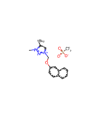 Cn1n[n+](COc2ccc3ccccc3c2)cc1C(C)(C)C.O=S(=O)([O-])C(F)(F)F